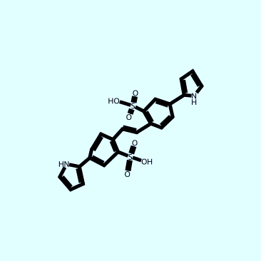 O=S(=O)(O)c1cc(-c2ccc[nH]2)ccc1C=Cc1ccc(-c2ccc[nH]2)cc1S(=O)(=O)O